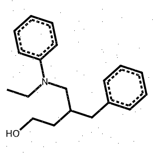 CCN(CC(CCO)Cc1ccccc1)c1ccccc1